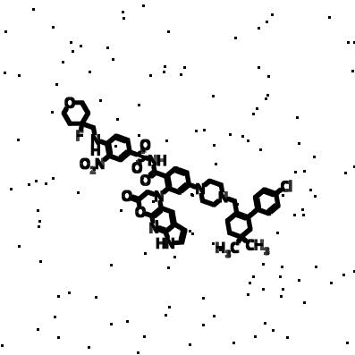 CC1(C)CCC(CN2CCN(c3ccc(C(=O)NS(=O)(=O)c4ccc(NCC5(F)CCOCC5)c([N+](=O)[O-])c4)c(N4CC(=O)Oc5nc6[nH]ccc6cc54)c3)CC2)=C(c2ccc(Cl)cc2)C1